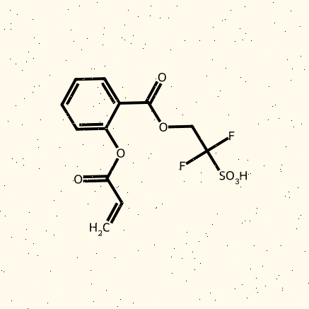 C=CC(=O)Oc1ccccc1C(=O)OCC(F)(F)S(=O)(=O)O